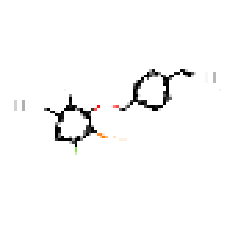 C=Cc1ccc(COc2c(C)c(C)cc(F)c2P)cc1